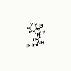 [CH2][C@H](N=CC(=O)NCCCCCC)C(=O)C1CCCCC1